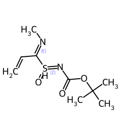 C=CC(=N\C)/[SH](=O)=N/C(=O)OC(C)(C)C